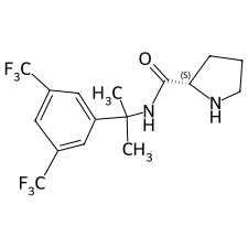 CC(C)(NC(=O)[C@@H]1CCCN1)c1cc(C(F)(F)F)cc(C(F)(F)F)c1